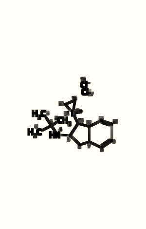 CC(C)(C)NC1CC2C=CC=CC2[CH]1[Ti+2]1[CH2][CH2]1.[Cl-].[Cl-]